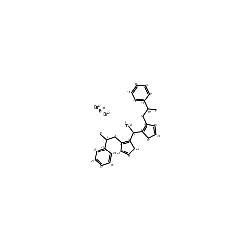 CC(CC1=C([CH]([Ti+3])C2=C(CC(C)c3ccccc3)C=CC2)CC=C1)c1ccccc1.[Br-].[Br-].[Br-]